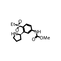 CCS(=O)(=O)c1ccc(NC(=O)OC)cc1[C@H]1CCCN1